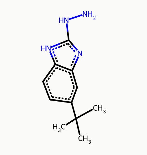 CC(C)(C)c1ccc2[nH]c(NN)nc2c1